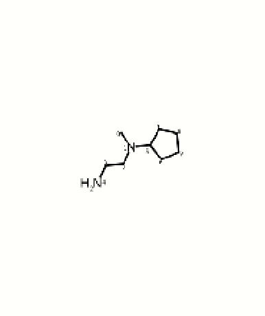 CN(CCN)C1CCCC1